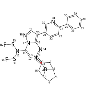 N#CB1C2CCC1CC(c1cc(N(SF)SF)n3ncc(-c4ccc(-c5ccccc5)nc4)c3n1)C2